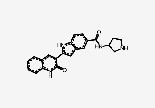 O=C(NC1CCNC1)c1ccc2[nH]c(-c3cc4ccccc4[nH]c3=O)cc2c1